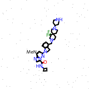 CNc1cc(N2CCc3c(CN4CCC5(CCN(C6CCNCC6)CC5)C(F)(F)C4)cccc32)nn2c(C(=O)NC3CCC3)cnc12